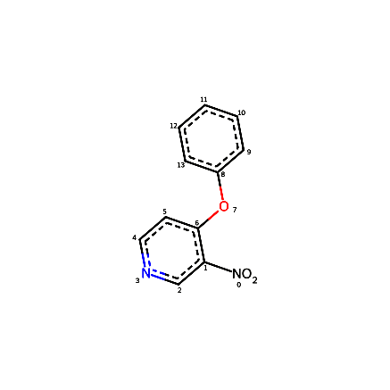 O=[N+]([O-])c1cnccc1Oc1ccccc1